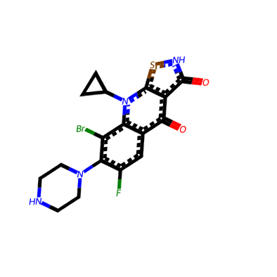 O=c1[nH]sc2c1c(=O)c1cc(F)c(N3CCNCC3)c(Br)c1n2C1CC1